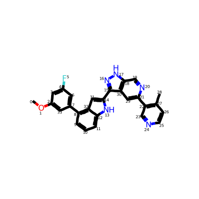 COc1cc(F)cc(-c2cccc3[nH]c(-c4n[nH]c5cnc(-c6cnccc6C)cc45)cc23)c1